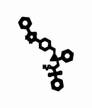 CN(C[C@@]1(c2ccccc2)C[C@H]1CN1CCC(c2nnc(-c3ccccc3)o2)CC1)S(=O)(=O)c1ccccc1